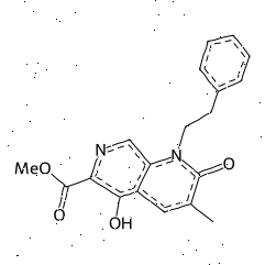 COC(=O)c1ncc2c(cc(C)c(=O)n2CCc2ccccc2)c1O